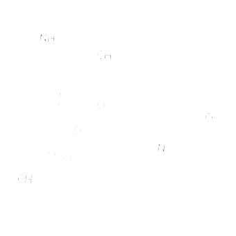 CCO[Si](CCCN)(CCN=C=O)OCC